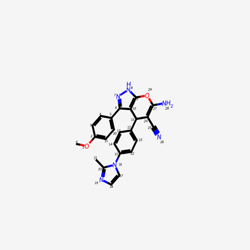 COc1ccc(-c2n[nH]c3c2C(c2ccc(-n4ccnc4C)cc2)C(C#N)=C(N)O3)cc1